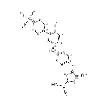 NC(=O)C1CC(=O)N(Cc2ccc(Nc3ccc(Cl)c(N4CCC(C(F)(F)F)CC4)c3)cc2)C1